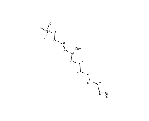 C[N+](C)(C)CCCCCCCCCCCCBr.[Br-]